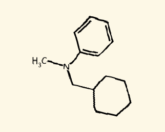 CN(CC1CCCCC1)c1ccccc1